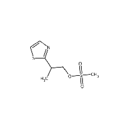 CC(COS(C)(=O)=O)c1nccs1